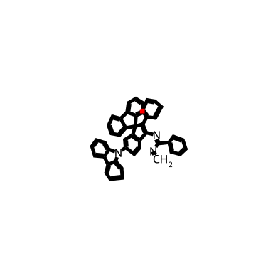 C=N/C(=N\C1=C(c2ccccc2)C2(c3cc(-n4c5ccccc5c5ccccc54)ccc31)c1ccccc1-c1ccccc12)c1ccccc1